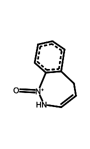 O=[N+]1NC=CCc2ccccc21